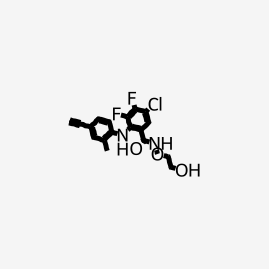 C#Cc1ccc(Nc2c(C(=O)NOCCO)cc(Cl)c(F)c2F)c(C)c1